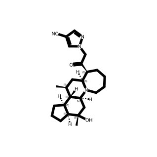 C[C@H]1C[C@H]2[C@@H](C(=O)Cn3cc(C#N)cn3)CCCCN2[C@H]2C[C@](C)(O)[C@H]3CCC[C@H]3[C@H]12